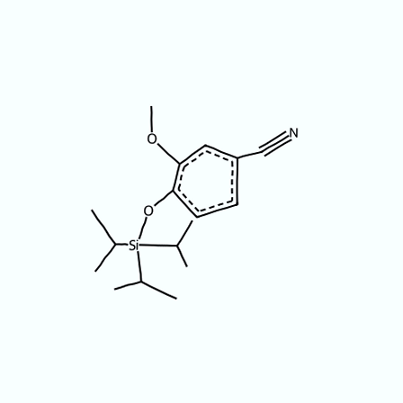 COc1cc(C#N)ccc1O[Si](C(C)C)(C(C)C)C(C)C